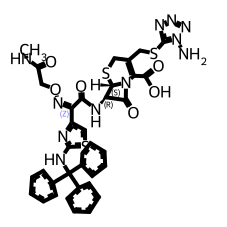 CNC(=O)CO/N=C(\C(=O)N[C@@H]1C(=O)N2C(C(=O)O)=C(CSc3nnnn3N)CS[C@@H]12)c1csc(NC(c2ccccc2)(c2ccccc2)c2ccccc2)n1